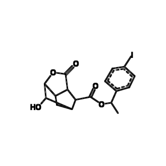 CC(OC(=O)C1C2CC3C(OC(=O)C31)C2O)c1ccc(I)cc1